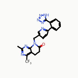 Cc1nc2c(c(C(F)(F)F)n1)CCC(=O)N2Cc1ccc(-c2ccccc2-c2nnn[nH]2)nc1